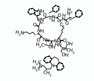 CC(CN(C)C)CN1c2ccccc2CCc2ccccc21.CC(O)[C@@H]1NC(=O)[C@H](CCCCN)NC(=O)[C@@H](Cc2c[nH]c3ccccc23)NC(=O)[C@H](Cc2ccccc2)NC(=O)[C@@H](NC(=O)[C@H](N)Cc2ccccc2)CSSC[C@@H](C(=O)N[C@H](CO)[C@@H](C)O)NC1=O